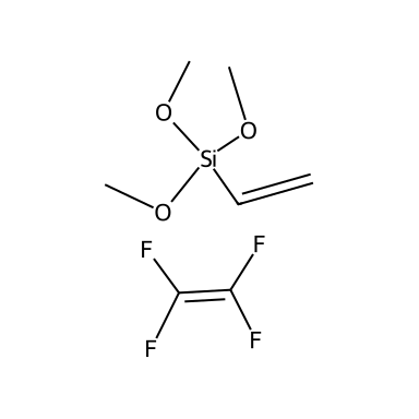 C=C[Si](OC)(OC)OC.FC(F)=C(F)F